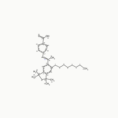 CCCCCCCCc1cc2c(cc1/C(C)=C/c1ccc(C(=O)O)cc1)C(C)(C)CC2(C)C